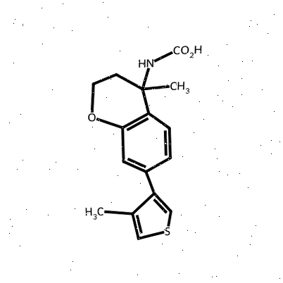 Cc1cscc1-c1ccc2c(c1)OCCC2(C)NC(=O)O